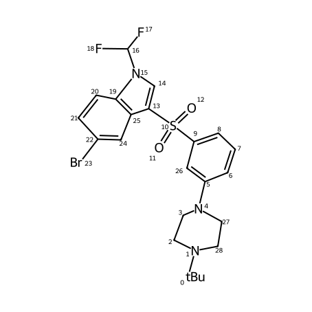 CC(C)(C)N1CCN(c2cccc(S(=O)(=O)c3cn(C(F)F)c4ccc(Br)cc34)c2)CC1